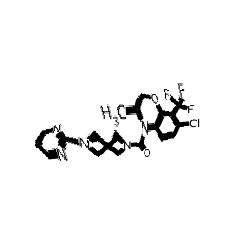 CC1COc2c(ccc(Cl)c2C(F)(F)F)N1C(=O)N1CC2(C1)CN(c1ncccn1)C2